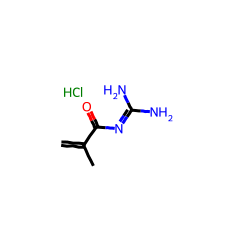 C=C(C)C(=O)N=C(N)N.Cl